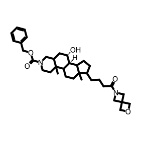 CC12CCC3[C@H](C1CCC2CCCC(=O)N1CC2(COC2)C1)[C@@H](O)CC1CN(C(=O)OCc2ccccc2)CCC13C